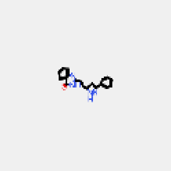 O=c1[nH]c(CCC2CC(c3ccccc3)=NN2)nc2ccccc12